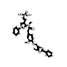 COc1cc(CC(=O)N(C)c2nn(-c3ccccc3)cc2/C=C/P(=O)(O)O)ccc1OCc1nc(-c2ccccc2)oc1C